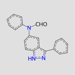 O=CN(c1ccccc1)c1ccc2[nH]nc(-c3ccccc3)c2c1